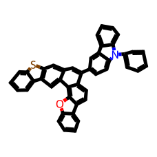 c1ccc(-n2c3ccccc3c3cc(-c4cc5cc6sc7ccccc7c6cc5c5c4ccc4c6ccccc6oc45)ccc32)cc1